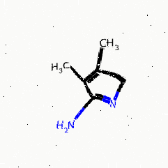 CC1=C(C)C(N)=NC1